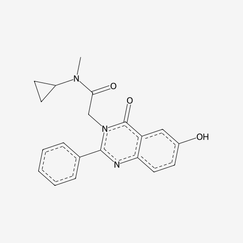 CN(C(=O)Cn1c(-c2ccccc2)nc2ccc(O)cc2c1=O)C1CC1